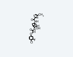 Cc1csc(C(=O)NC23CC(=C(NC(=O)COc4ccc(Cl)c(F)c4)[C@@H](O)C2)C3)n1